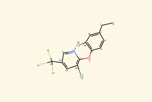 [CH2]Cc1ccc(Oc2ncc(C(F)(F)F)cc2Cl)c(Cl)c1